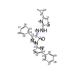 O=C1/C(=N\Nc2nc(C3CC3)cs2)C(c2ccccc2)=NN1c1nc(-c2ccccc2)cs1